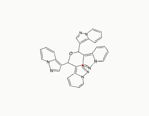 c1ccn2ncc(C(OC(c3cnn4ccccc34)c3cnn4ccccc34)c3cnn4ccccc34)c2c1